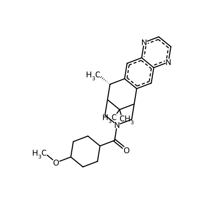 COC1CCC(C(=O)N2CC3c4cc5nccnc5cc4[C@@H](C)C(C2)C3(C)C)CC1